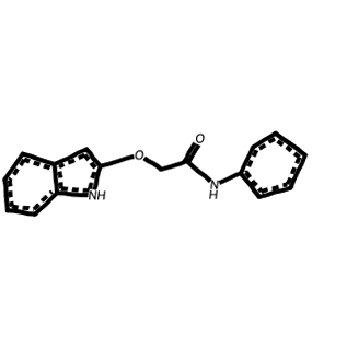 O=C(COc1cc2ccccc2[nH]1)Nc1ccccc1